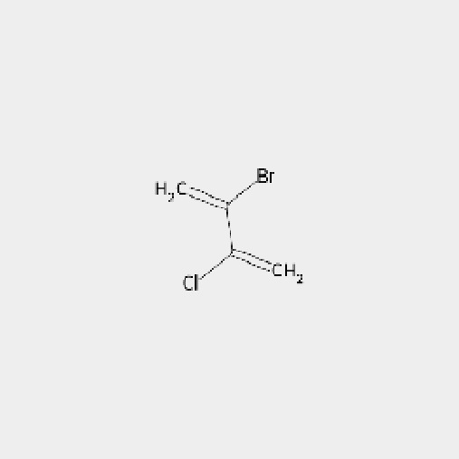 C=C(Cl)C(=C)Br